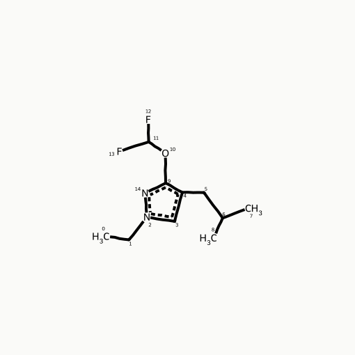 CCn1cc(CC(C)C)c(OC(F)F)n1